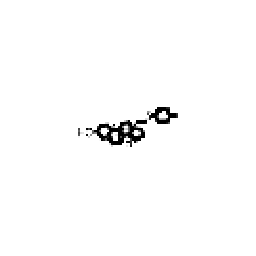 Cc1ccc(SCC[C@@]23CCC[C@H]2[C@@H]2CC=C4C[C@@H](O)CC[C@]4(C)[C@H]2CC3)cc1